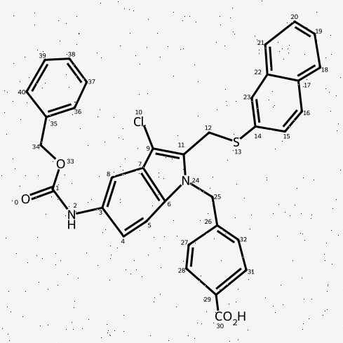 O=C(Nc1ccc2c(c1)c(Cl)c(CSc1ccc3ccccc3c1)n2Cc1ccc(C(=O)O)cc1)OCc1ccccc1